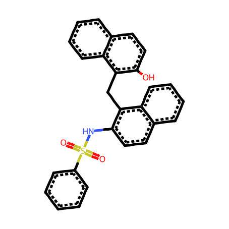 O=S(=O)(Nc1ccc2ccccc2c1Cc1c(O)ccc2ccccc12)c1ccccc1